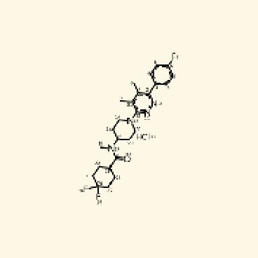 Cc1c(-c2ccc(F)cc2)nnc(N2CCC(N(C)C(=O)C3CCC(F)(F)CC3)CC2)c1C.Cl